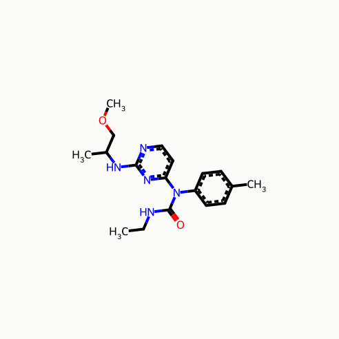 CCNC(=O)N(c1ccc(C)cc1)c1ccnc(NC(C)COC)n1